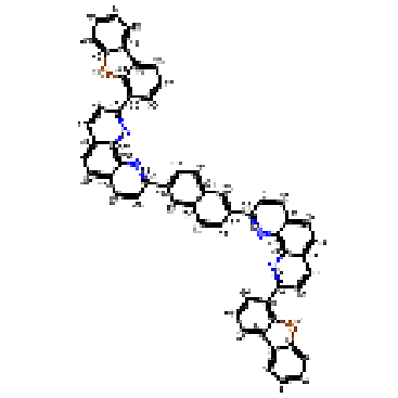 c1ccc2c(c1)sc1c(-c3ccc4ccc5ccc(-c6ccc7cc(-c8ccc9ccc%10ccc(-c%11cccc%12c%11sc%11ccccc%11%12)nc%10c9n8)ccc7c6)nc5c4n3)cccc12